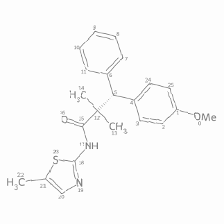 COc1ccc([C@@H](c2ccccc2)C(C)(C)C(=O)Nc2ncc(C)s2)cc1